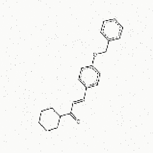 O=C(C=Cc1ccc(OCc2ccccc2)cc1)C1CCCCC1